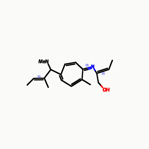 C/C=C(CO)\N=c1\ccc(C(NC)/C(C)=C/C)ccc1C